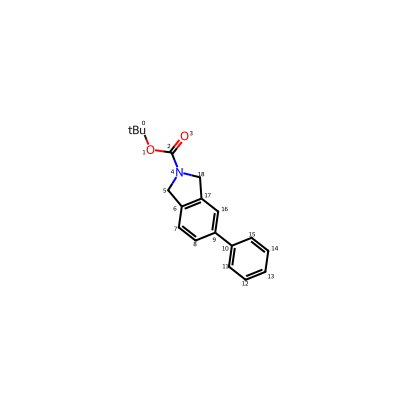 CC(C)(C)OC(=O)N1Cc2ccc(-c3ccccc3)cc2C1